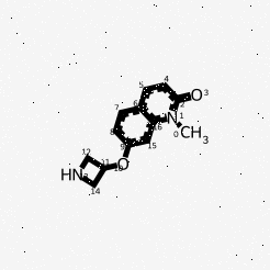 Cn1c(=O)ccc2ccc(OC3CNC3)cc21